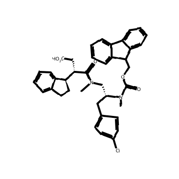 CN(C[C@@H](Cc1ccc(Cl)cc1)N(C)C(=O)OCC1c2ccccc2-c2ccccc21)C(=O)[C@@H](CC(=O)O)[C@H]1CCc2ccccc21